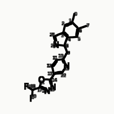 Cc1cc2c(cc1C)C(Cc1ccc(-c3nnc(C(F)F)o3)cn1)N=C2